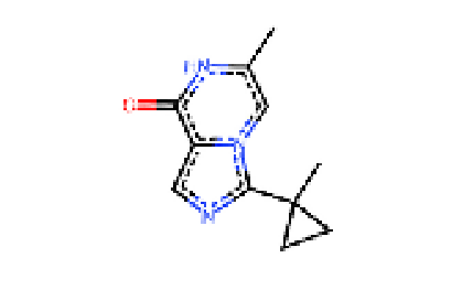 Cc1cn2c(C3(C)CC3)ncc2c(=O)[nH]1